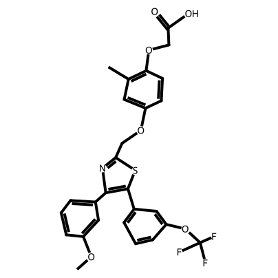 COc1cccc(-c2nc(COc3ccc(OCC(=O)O)c(C)c3)sc2-c2cccc(OC(F)(F)F)c2)c1